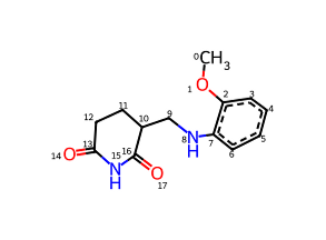 COc1ccccc1NCC1CCC(=O)NC1=O